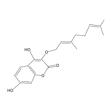 CC(C)=CCC/C(C)=C/COc1c(O)c2ccc(O)cc2oc1=O